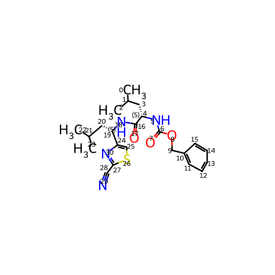 CC(C)C[C@H](NC(=O)OCc1ccccc1)C(=O)N[C@@H](CC(C)C)c1csc(C#N)n1